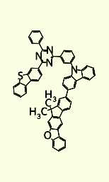 CC1(C)c2cc(-c3ccc4c(c3)c3ccccc3n4-c3cccc(-c4nc(-c5ccccc5)nc(-c5ccc6c(c5)sc5ccccc56)n4)c3)ccc2-c2cc3c(cc21)oc1ccccc13